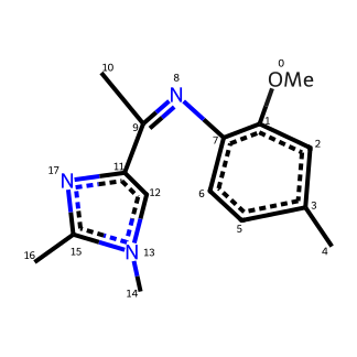 COc1cc(C)ccc1N=C(C)c1cn(C)c(C)n1